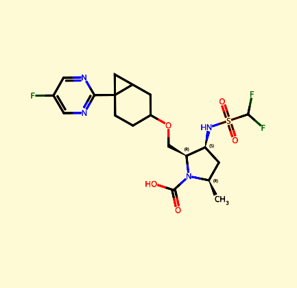 C[C@@H]1C[C@H](NS(=O)(=O)C(F)F)[C@H](COC2CCC3(c4ncc(F)cn4)CC3C2)N1C(=O)O